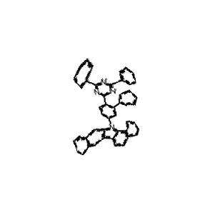 c1ccc(-c2nc(-c3ccccc3)nc(-c3ccc(-n4c5cc6ccccc6cc5c5ccc6ccccc6c54)cc3-c3ccccc3)n2)cc1